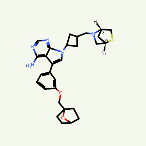 Nc1ncnc2c1c(-c1cccc(OCC34CCC(CC3)O4)c1)cn2C1CC(CN2C[C@@H]3C[C@H]2CS3)C1